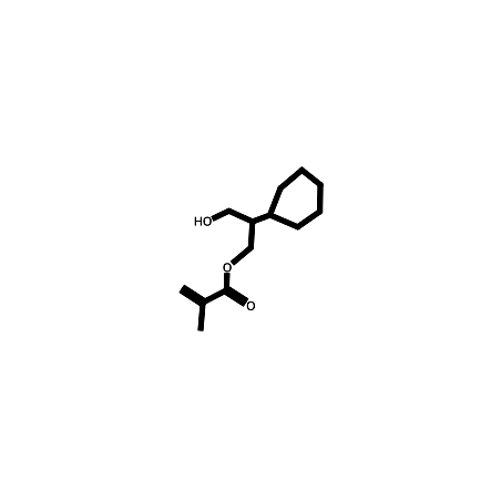 C=C(C)C(=O)OCC(CO)C1CCCCC1